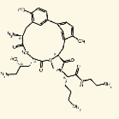 CN1C(=O)[C@H](C[C@@H](O)CN)NC(=O)[C@@H](N)Cc2cc(ccc2O)-c2ccc(O)c(c2)C[C@H]1C(=O)N[C@@H](CCCN)C(=O)NCCN